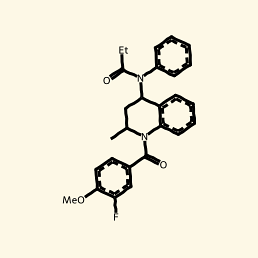 CCC(=O)N(c1ccccc1)C1CC(C)N(C(=O)c2ccc(OC)c(F)c2)c2ccccc21